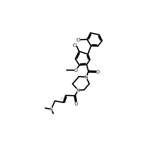 COc1cc(Cl)c(-c2ccccc2Cl)cc1C(=O)N1CCN(C(=O)/C=C/CN(C)C)CC1